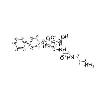 NCCCNCC(=O)NC[C@H](NC(=O)c1ccc(-c2ccccc2)cc1)C(=O)NO